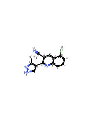 Cc1n[nH]cc1-c1nc2cccc(Cl)c2cc1C#N